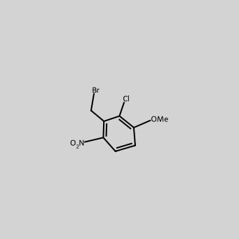 COc1ccc([N+](=O)[O-])c(CBr)c1Cl